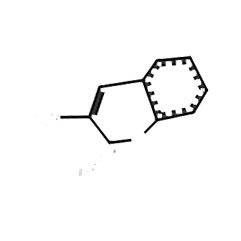 CC(C)[C@H]1Oc2ccccc2C=C1[N+](=O)[O-]